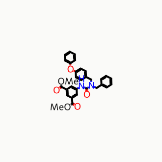 COC(=O)c1cc(NC(=O)N(Cc2ccccc2)Cc2ccc(Oc3ccccc3)cc2)cc(C(=O)OC)c1